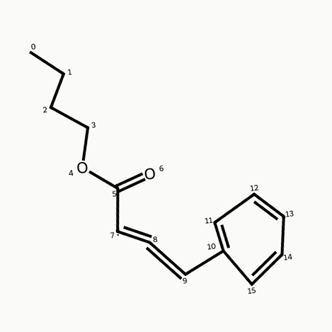 CCCCOC(=O)[C]=C=Cc1ccccc1